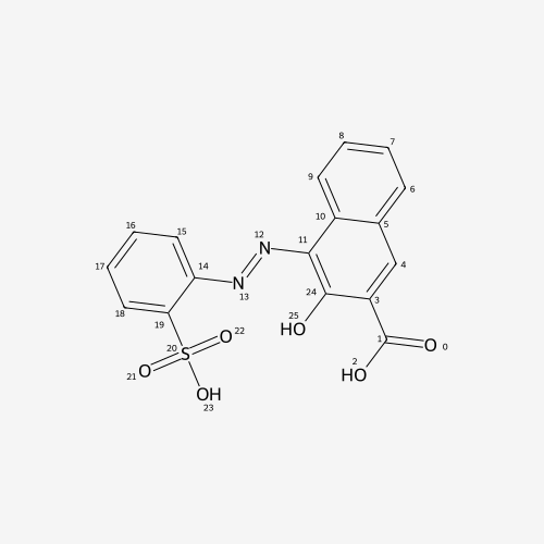 O=C(O)c1cc2ccccc2c(N=Nc2ccccc2S(=O)(=O)O)c1O